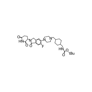 CC(C)(C)OC(=O)NCC1CCC(CN2CCN(c3cc4c(cc3F)C(=O)N(C3CCC(=O)NC3=O)C4)CC2)CC1